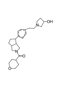 O=C(C1CCOCC1)N1CC2CCC(c3ccc(CCN4CCC(O)C4)cc3)C2C1